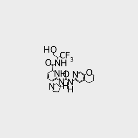 O=C(N[C@H](CO)C(F)(F)F)C1C=CC2=C(N1)N(C(=O)Nc1cc3c(cn1)OCCC3)[C@H]1CCN2C1